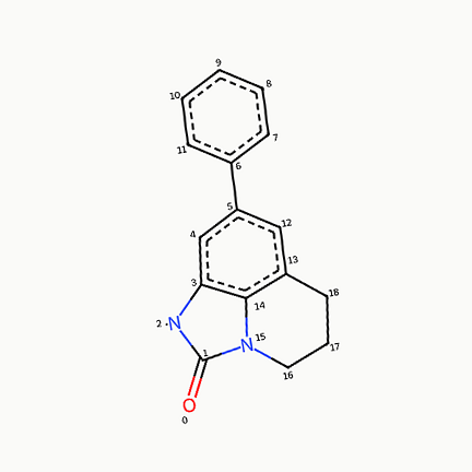 O=C1[N]c2cc(-c3ccccc3)cc3c2N1CCC3